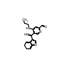 CCCNc1cc(C=O)ncc1C(=N)c1coc2c1=CCCC=2